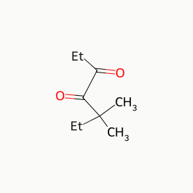 CCC(=O)C(=O)C(C)(C)CC